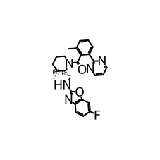 Cc1cccc(-c2ncccn2)c1C(=O)N1CCC[C@@H](C)[C@H]1CNc1nc2ccc(F)cc2o1